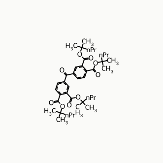 CCCC(C)(C)OC(=O)c1ccc(C(=O)c2ccc(C(=O)OC(C)(C)CCC)c(C(=O)OC(C)(C)CCC)c2)cc1C(=O)OC(C)(C)CCC